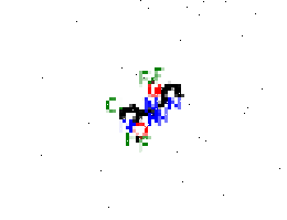 Cn1c(-c2cc(Cl)cnc2OC(F)F)nnc1-c1ncccc1OC(F)F